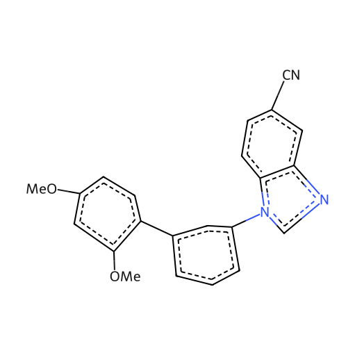 COc1ccc(-c2cccc(-n3cnc4cc(C#N)ccc43)c2)c(OC)c1